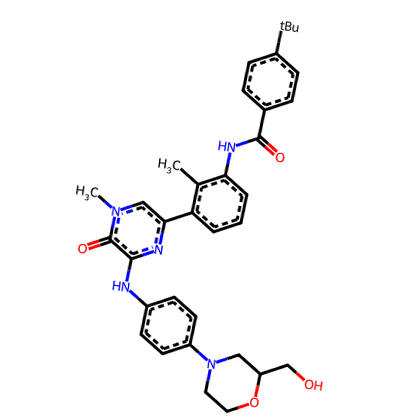 Cc1c(NC(=O)c2ccc(C(C)(C)C)cc2)cccc1-c1cn(C)c(=O)c(Nc2ccc(N3CCOC(CO)C3)cc2)n1